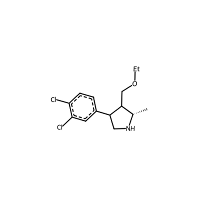 CCOCC1C(c2ccc(Cl)c(Cl)c2)CN[C@H]1C